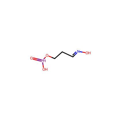 O=[PH](O)OCCC=NO